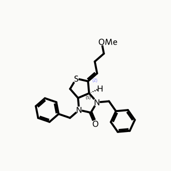 COCC/C=C1\SCC2[C@@H]1N(Cc1ccccc1)C(=O)N2Cc1ccccc1